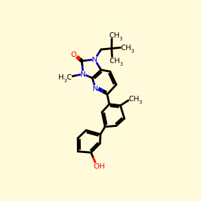 Cc1ccc(-c2cccc(O)c2)cc1-c1ccc2c(n1)n(C)c(=O)n2CC(C)(C)C